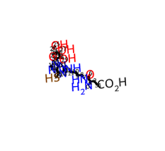 NC(CCC(=O)O)C(=O)NC/C=C/CNc1nc(S)c2ncn([C@@H]3O[C@H](CO)[C@H](O)C3O)c2n1